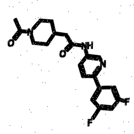 CC(=O)N1CCC(CC(=O)Nc2ccc(-c3cc(F)cc(F)c3)nc2)CC1